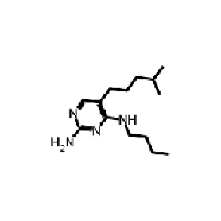 CCCCNc1nc(N)ncc1CCCC(C)C